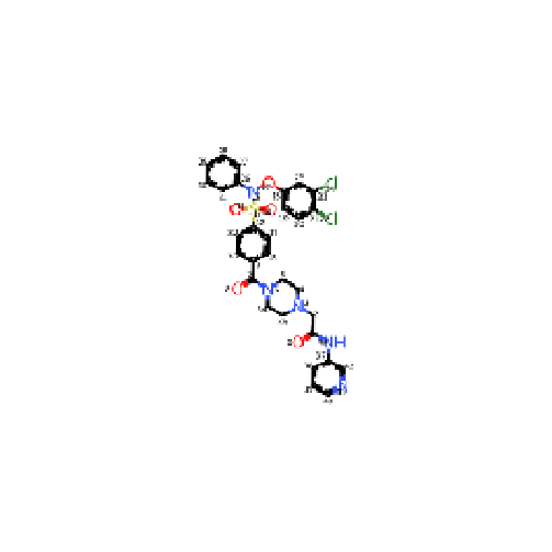 O=C(CN1CCN(C(=O)c2ccc(S(=O)(=O)N(Oc3ccc(Cl)c(Cl)c3)c3ccccc3)cc2)CC1)Nc1cccnc1